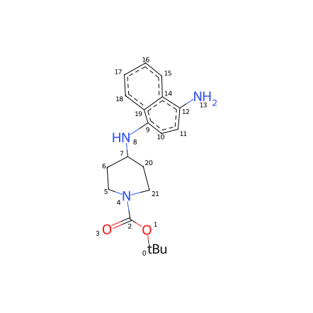 CC(C)(C)OC(=O)N1CCC(Nc2ccc(N)c3ccccc23)CC1